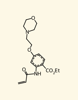 C=CC(=O)Nc1cc(OCCN2CCOCC2)ccc1C(=O)OCC